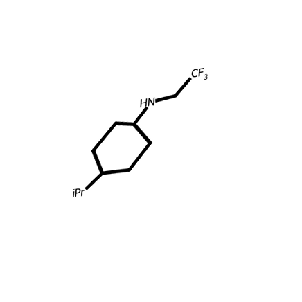 CC(C)C1CCC(NCC(F)(F)F)CC1